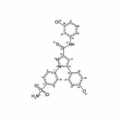 NS(=O)(=O)c1ccc(-n2nc(C(=O)Nc3cccc(Cl)c3)cc2-c2ccc(Cl)cc2)cc1